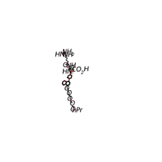 CCCOCCOCCOCCOCCOc1ccc(-c2ccc([C@H](CC(=O)O)NC(=O)CNC(=O)CCCCNC(=N)N)cc2)c2ccccc12